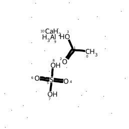 CC(=O)O.O=S(=O)(O)O.[AlH3].[CaH2]